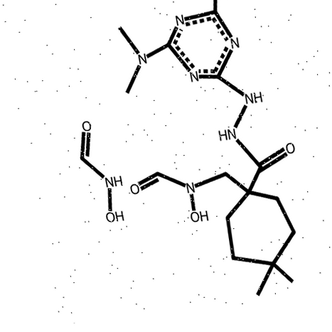 CCc1nc(NNC(=O)C2(CN(O)C=O)CCC(C)(C)CC2)nc(N(C)C)n1.O=CNO